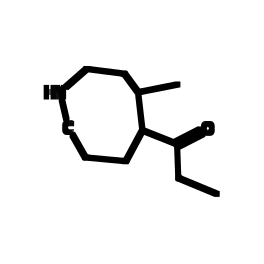 CCC(=O)C1CCCNCCC1C